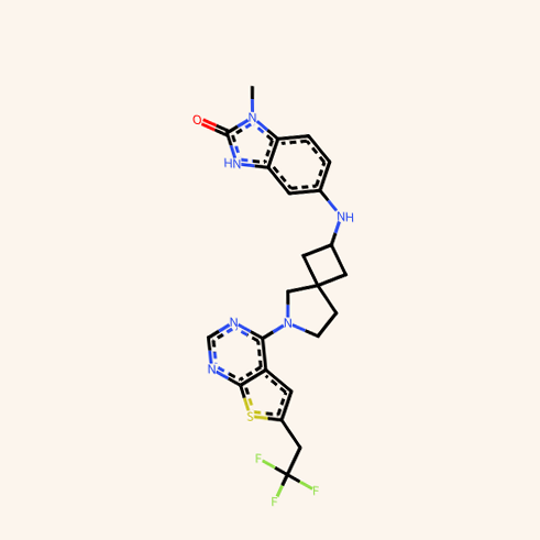 Cn1c(=O)[nH]c2cc(NC3CC4(CCN(c5ncnc6sc(CC(F)(F)F)cc56)C4)C3)ccc21